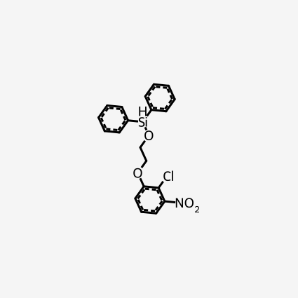 O=[N+]([O-])c1cccc(OCCO[SiH](c2ccccc2)c2ccccc2)c1Cl